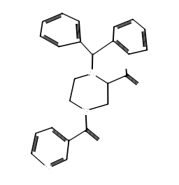 O=C(I)C1CN(C(=O)c2cccnc2)CCN1C(c1ccccc1)c1ccccc1